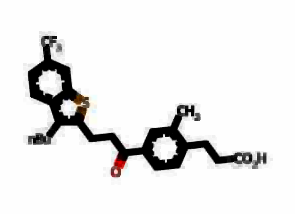 CCCCc1c(CCC(=O)c2ccc(CCC(=O)O)c(C)c2)sc2cc(C(F)(F)F)ccc12